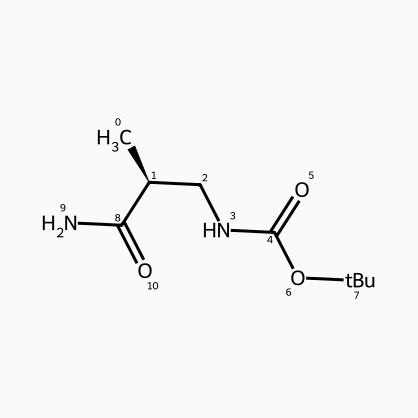 C[C@@H](CNC(=O)OC(C)(C)C)C(N)=O